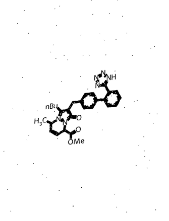 CCCCc1c(Cc2ccc(-c3ccccc3-c3nnn[nH]3)cc2)c(=O)n2n1C(C)C=CC2C(=O)OC